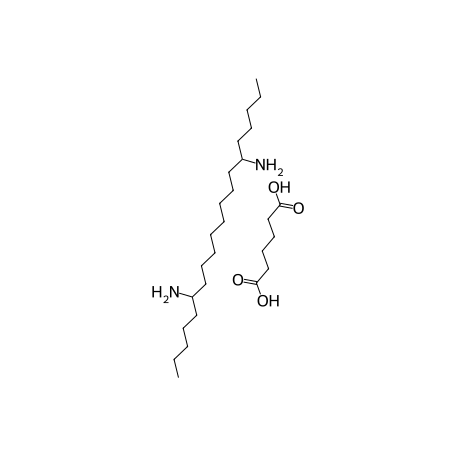 CCCCCC(N)CCCCCCCCC(N)CCCCC.O=C(O)CCCCC(=O)O